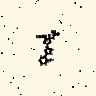 CC(CCn1cc(-c2ccccc2F)cn1)(C[SH](=O)=O)C(=O)NO